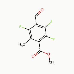 COC(=O)c1c(C)c(F)c(C=O)c(F)c1F